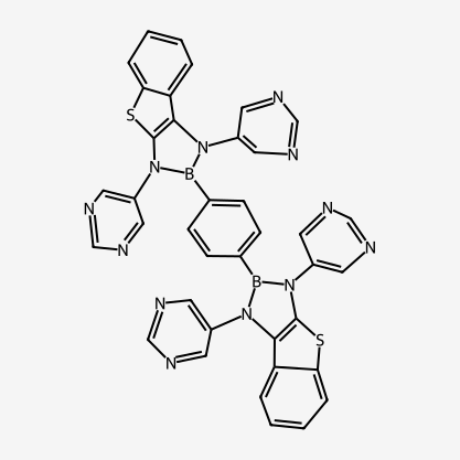 c1ccc2c3c(sc2c1)N(c1cncnc1)B(c1ccc(B2N(c4cncnc4)c4sc5ccccc5c4N2c2cncnc2)cc1)N3c1cncnc1